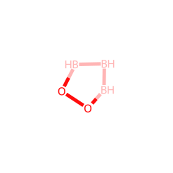 B1BOOB1